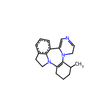 CC1CCCC2=C1N1CC=NC=C1c1cccc3c1N2CC3